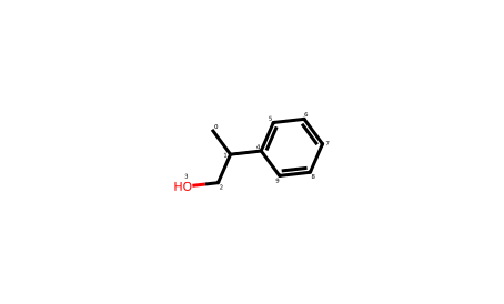 CC(CO)c1cc[c]cc1